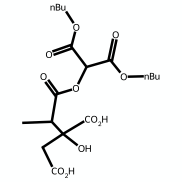 CCCCOC(=O)C(OC(=O)C(C)C(O)(CC(=O)O)C(=O)O)C(=O)OCCCC